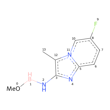 COBNc1nc2ccc(F)cn2c1C